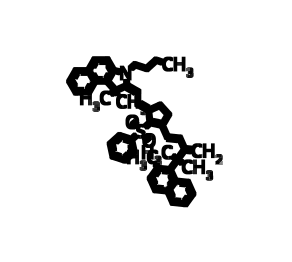 C=C(/C=C/C1=C(S(=O)(=O)c2ccccc2)C(=C/C=C2/N(CCCC)c3ccc4ccccc4c3C2(C)C)/CC1)C(C)(C)c1c(C)ccc2ccccc12